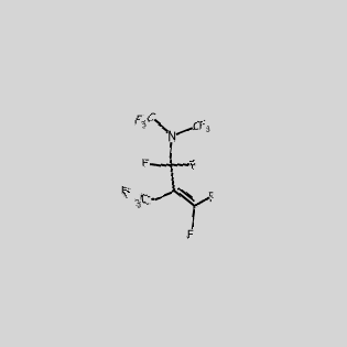 FC(F)=C(C(F)(F)F)C(F)(F)N(C(F)(F)F)C(F)(F)F